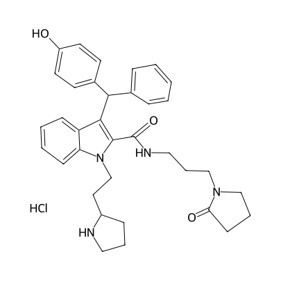 Cl.O=C(NCCCN1CCCC1=O)c1c(C(c2ccccc2)c2ccc(O)cc2)c2ccccc2n1CCC1CCCN1